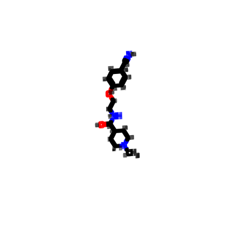 CN1CCC(C(=O)NCCOc2ccc(C#N)cc2)CC1